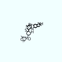 C[C@H]1CN(C(=O)[C@H]2CCc3c(sc4ncnc(Nc5cc6cn[nH]c6cc5Br)c34)C2)C[C@H](C)O1